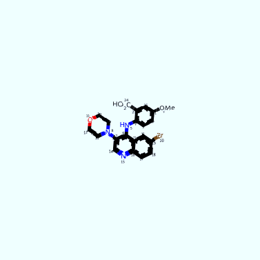 COc1ccc(Nc2c(N3CCOCC3)cnc3ccc(Br)cc23)c(C(=O)O)c1